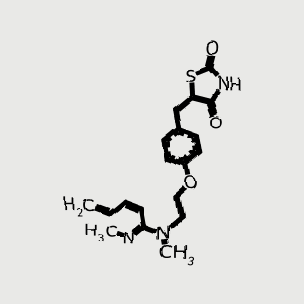 C=C/C=C\C(=N/C)N(C)CCOc1ccc(CC2SC(=O)NC2=O)cc1